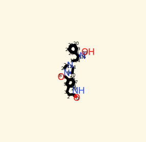 O=C1CCc2cc(C(=O)N3CCN(CC/C(=N/O)c4ccccc4)CC3)ccc2N1